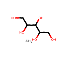 OCC(O)C(O)C(O)CO.[AlH3]